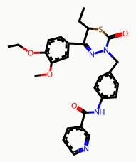 CCOc1ccc(C2=NN(Cc3ccc(NC(=O)c4cccnc4)cc3)C(=O)SC2CC)cc1OC